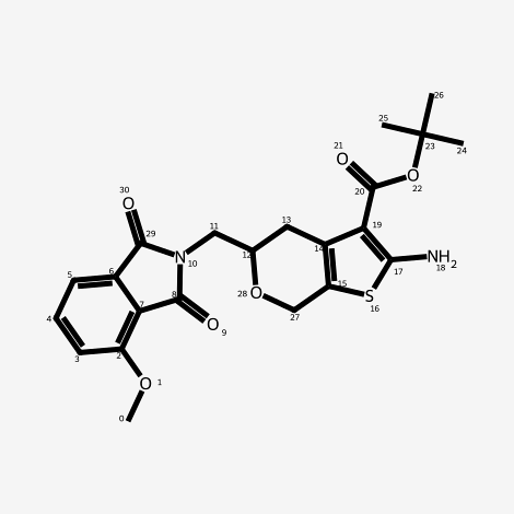 COc1cccc2c1C(=O)N(CC1Cc3c(sc(N)c3C(=O)OC(C)(C)C)CO1)C2=O